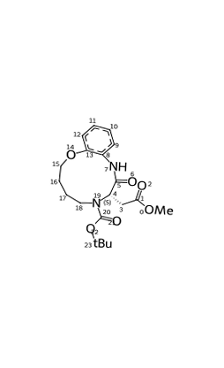 COC(=O)C[C@H]1C(=O)Nc2ccccc2OCCCCN1C(=O)OC(C)(C)C